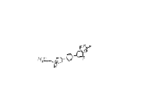 CCCC[SiH]1CCC([C@H]2CC[C@H](c3cc(F)c(OC(F)F)c(F)c3)CC2)CC1